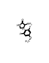 COc1cc(F)c([C@@H]2CNC(=O)C2N)c(F)c1